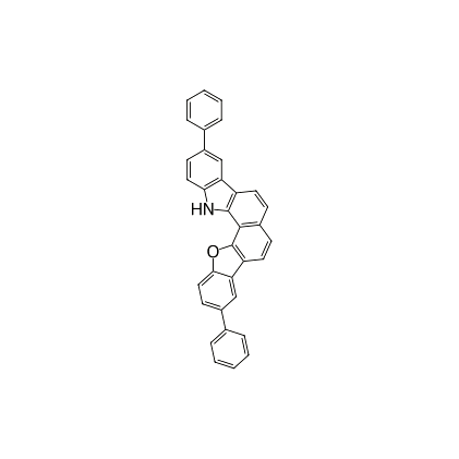 c1ccc(-c2ccc3[nH]c4c(ccc5ccc6c7cc(-c8ccccc8)ccc7oc6c54)c3c2)cc1